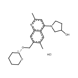 Cc1cc(N2CCC(O)C2)c2cc(C)c(CO[C@H]3CCCCO3)cc2n1.Cl